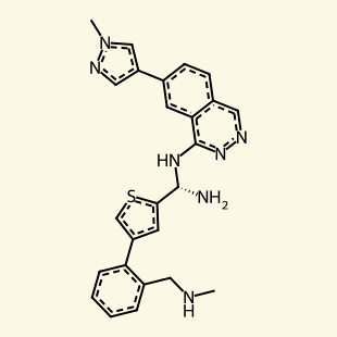 CNCc1ccccc1-c1csc([C@@H](N)Nc2nncc3ccc(-c4cnn(C)c4)cc23)c1